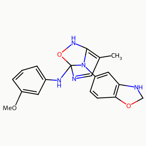 COc1cccc(NC23N=CC(C)=C(NO2)N3c2ccc3c(c2)NCO3)c1